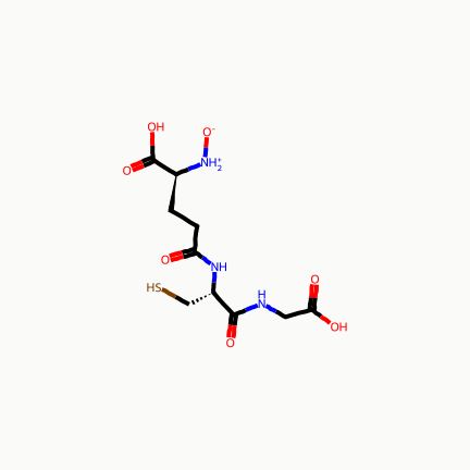 O=C(O)CNC(=O)[C@H](CS)NC(=O)CC[C@H]([NH2+][O-])C(=O)O